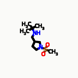 CC(C)(C)NCC1CCN(S(C)(=O)=O)C1